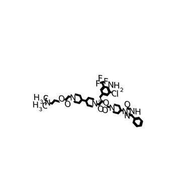 CN(C)CCCOC(=O)CN1CCC(C2CCN(C(=O)[C@@H](Cc3cc(Cl)c(N)c(C(F)(F)F)c3)OC(=O)N3CCC(n4nc(-c5ccccc5)[nH]c4=O)CC3)CC2)CC1